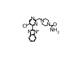 Cn1c(-c2nc(CN3CCN(C(N)=O)CC3)ncc2Cl)nc2ccccc21